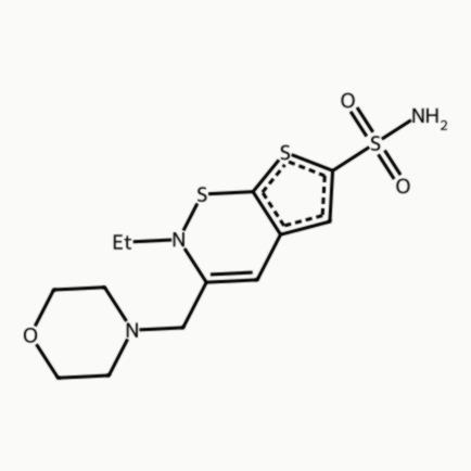 CCN1Sc2sc(S(N)(=O)=O)cc2C=C1CN1CCOCC1